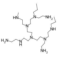 CCCNCCN(CCN)CCN(CCNCCN)CCN(CCNC)CCN(CCC)CCN